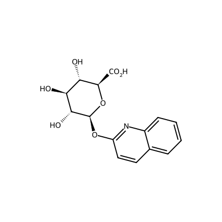 O=C(O)[C@H]1O[C@@H](Oc2ccc3ccccc3n2)[C@H](O)[C@@H](O)[C@@H]1O